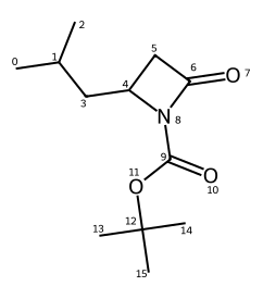 CC(C)CC1CC(=O)N1C(=O)OC(C)(C)C